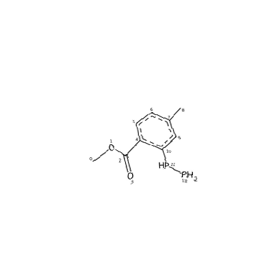 COC(=O)c1ccc(C)cc1PP